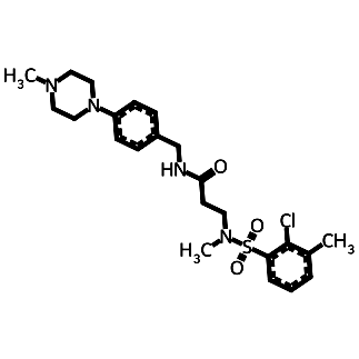 Cc1cccc(S(=O)(=O)N(C)CCC(=O)NCc2ccc(N3CCN(C)CC3)cc2)c1Cl